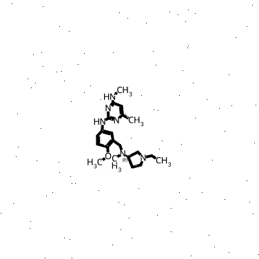 CCN1CC[C@@H](N(C)Cc2cc(Nc3nc(C)cc(NC)n3)ccc2OC)C1